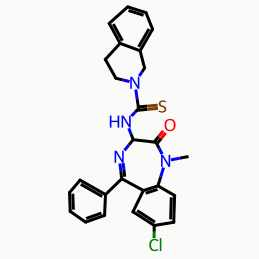 CN1C(=O)C(NC(=S)N2CCc3ccccc3C2)N=C(c2ccccc2)c2cc(Cl)ccc21